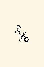 O=C(OON1C(=O)c2ccccc2C1=O)C1CCC1